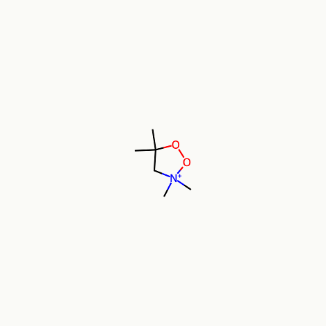 CC1(C)C[N+](C)(C)OO1